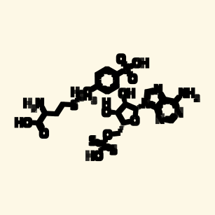 CSCCC(N)C(=O)O.Cc1ccc(S(=O)(=O)O)cc1.Nc1ncnc2c1ncn2[C@@H]1O[C@H](COS(O)(=S)=S)[C@@H](O)[C@H]1O